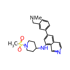 CNCc1cccc(-c2cc(NC3CCN(S(C)(=O)=O)CC3)c3cnccc3c2)c1